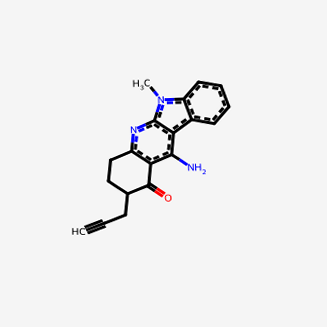 C#CCC1CCc2nc3c(c(N)c2C1=O)c1ccccc1n3C